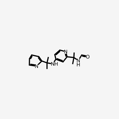 CC(C)(NC=O)c1cc(NC(C)(C)c2ccccn2)ccn1